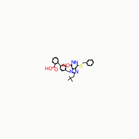 CC(C)(C)Cc1nc2c(SCc3ccccc3)nnc(O)c2n1Cc1ccc(-c2ccccc2C(=O)O)cc1